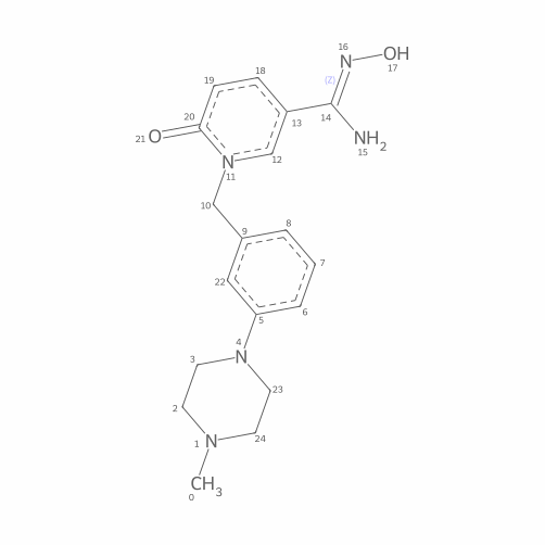 CN1CCN(c2cccc(Cn3cc(/C(N)=N/O)ccc3=O)c2)CC1